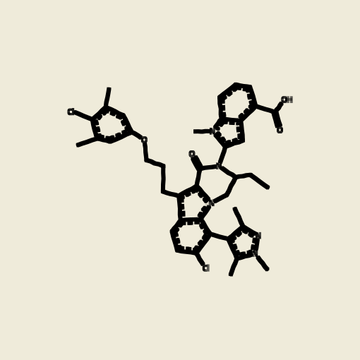 CCC1Cn2c(c(CCCOc3cc(C)c(Cl)c(C)c3)c3ccc(Cl)c(-c4c(C)nn(C)c4C)c32)C(=O)N1c1cc2c(C(=O)O)cccc2n1C